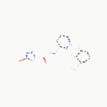 Cc1cccc(C)c1Oc1ncccc1CNC(=O)c1cc(=O)[nH][nH]1